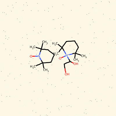 CC1(C)CCCC(C)(C)N1[O].CC1(C)CCCC(C)(C)[N+]1([O])C(O)CO